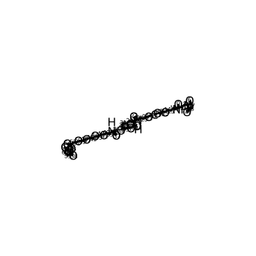 O=C(CCN1C(=O)C=CC1=O)NCCCOCCOCCOCCCNC(=O)c1cc2ccc(OCC(=O)NCCOCCOCCOCCOCCC(=O)ON3C(=O)CCC3=O)cc2oc1=O